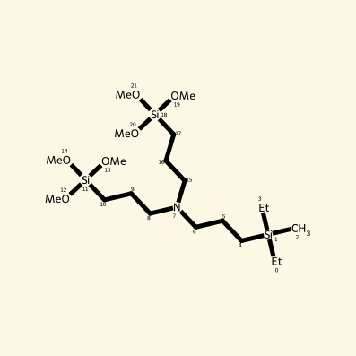 CC[Si](C)(CC)CCCN(CCC[Si](OC)(OC)OC)CCC[Si](OC)(OC)OC